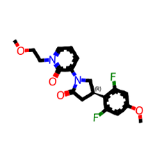 COCCn1cccc(N2C[C@@H](c3c(F)cc(OC)cc3F)CC2=O)c1=O